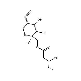 CC(O)CC(=O)OC[C@@]1(O)OC[C@@H](N=O)C(O)[C@H]1O